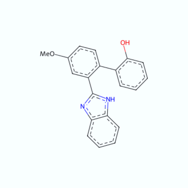 COc1ccc(-c2ccccc2O)c(-c2nc3ccccc3[nH]2)c1